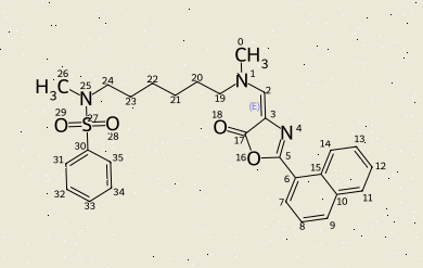 CN(/C=C1/N=C(c2cccc3ccccc23)OC1=O)CCCCCCN(C)S(=O)(=O)c1ccccc1